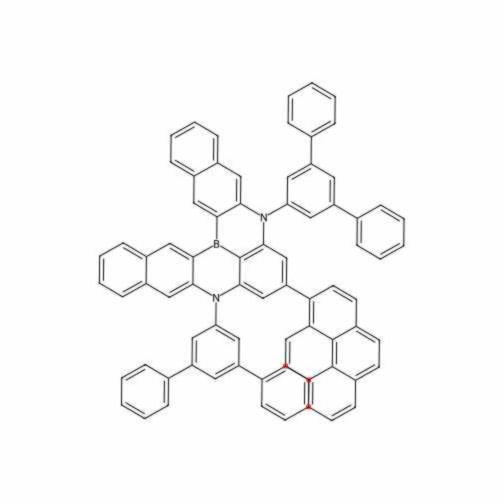 c1ccc(-c2cc(-c3ccccc3)cc(N3c4cc5ccccc5cc4B4c5cc6ccccc6cc5N(c5cc(-c6ccccc6)cc(-c6ccccc6)c5)c5cc(-c6ccc7ccc8cccc9ccc6c7c89)cc3c54)c2)cc1